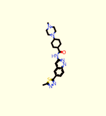 Cc1nnc(-c2ccc3nnc(NC(=O)C4CCC(N5CCN(C)CC5)CC4)cc3c2)s1